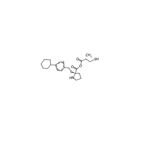 C[C@H](CS)C(=O)OC(=O)[C@]1(SCc2ccc(C3CCCCC3)cc2)CCCN1